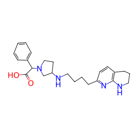 O=C(O)C(c1ccccc1)N1CCC(NCCCCc2ccc3c(n2)NCCC3)C1